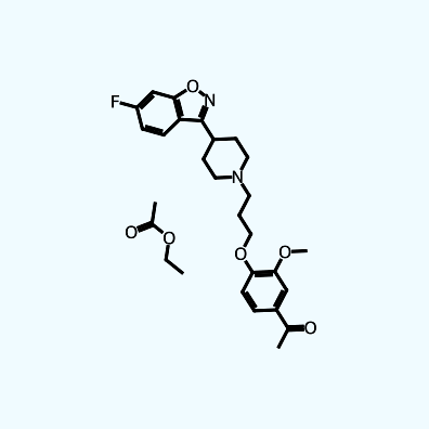 CCOC(C)=O.COc1cc(C(C)=O)ccc1OCCCN1CCC(c2noc3cc(F)ccc23)CC1